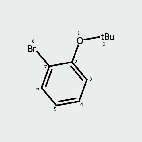 CC(C)(C)Oc1ccccc1Br